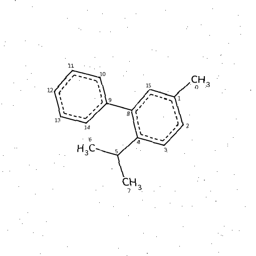 Cc1ccc(C(C)C)c(-c2ccccc2)c1